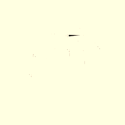 C[C@H]1[C@H](NC(=O)c2cc3cccn3cn2)C2CCN1CC2